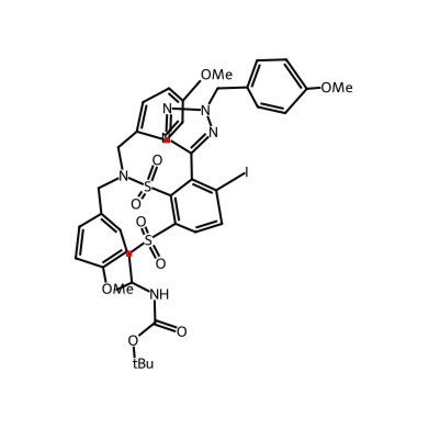 COc1ccc(CN(Cc2ccc(OC)cc2)S(=O)(=O)c2c(S(=O)(=O)CC(C)NC(=O)OC(C)(C)C)ccc(I)c2-c2nnn(Cc3ccc(OC)cc3)n2)cc1